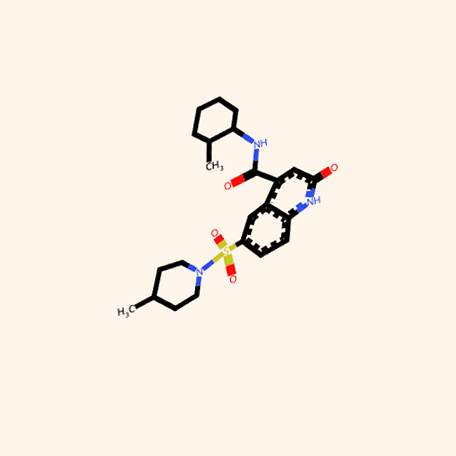 CC1CCN(S(=O)(=O)c2ccc3[nH]c(=O)cc(C(=O)NC4CCCCC4C)c3c2)CC1